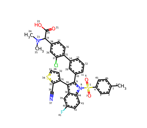 Cc1ccc(S(=O)(=O)n2c(-c3cccc(-c4ccc(C(C(=O)O)N(C)C)cc4Cl)c3)c(-c3ccsc3C#N)c3cc(F)ccc32)cc1